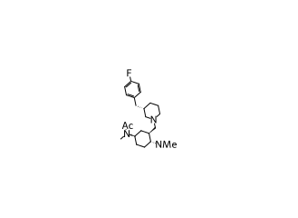 CN[C@@H]1CC[C@@H](N(C)C(C)=O)C[C@H]1CN1CCC[C@@H](Cc2ccc(F)cc2)C1